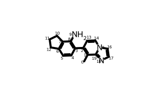 Cc1c(-c2ccc3c(c2N)CCC3)ccn2ccnc12